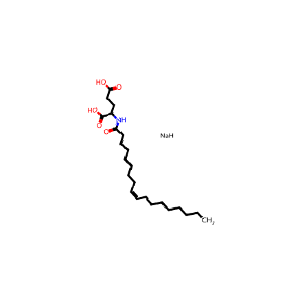 CCCCCCCC/C=C\CCCCCCCC(=O)NC(CCC(=O)O)C(=O)O.[NaH]